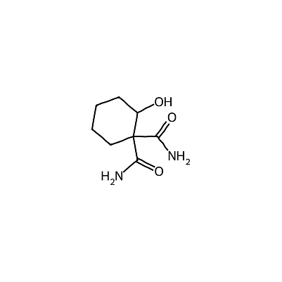 NC(=O)C1(C(N)=O)CCCCC1O